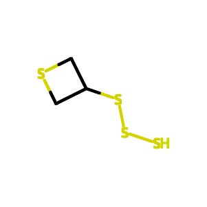 SSSC1CSC1